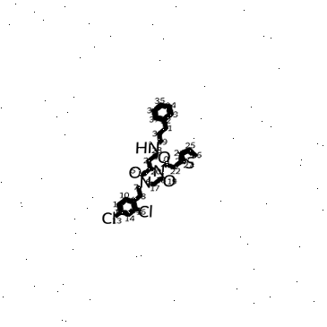 O=C(CC1C(=O)N(CCc2ccc(Cl)cc2Cl)CC(=O)N1CCc1cccs1)NCCCc1ccccc1